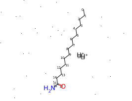 CCCCCCCCCCCCCCCC(N)=O.[H+].[H+]